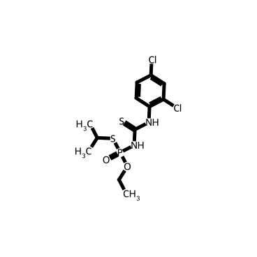 CCOP(=O)(NC(=S)Nc1ccc(Cl)cc1Cl)SC(C)C